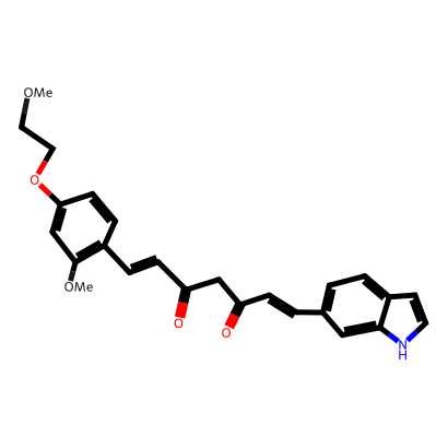 COCCOc1ccc(/C=C/C(=O)CC(=O)/C=C/c2ccc3cc[nH]c3c2)c(OC)c1